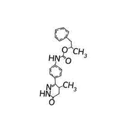 CC(Cc1ccccc1)OC(=O)Nc1ccc(C2=NNC(=O)CC2C)cc1